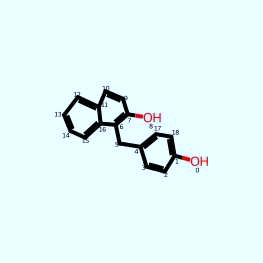 Oc1ccc(Cc2c(O)ccc3ccccc23)cc1